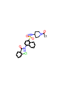 CCC(=O)N1CCC(NS(=O)(=O)c2ccc(NC(=O)c3ccccc3Cl)c3ccccc23)CC1